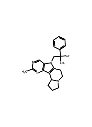 Cc1ncc2c(n1)c1c(n2CC(C)(O)c2ccccc2)CCN2CCCC12